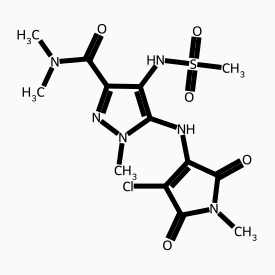 CN(C)C(=O)c1nn(C)c(NC2=C(Cl)C(=O)N(C)C2=O)c1NS(C)(=O)=O